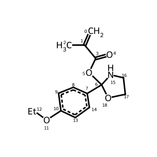 C=C(C)C(=O)OC1(c2ccc(OCC)cc2)NCCO1